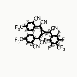 N#CC(=C1C(=C(/C#N)c2ccc(C(F)(F)F)cc2C#N)/C1=C(/C#N)c1c(F)c(F)c(C(F)(F)F)c(F)c1F)c1ccc(C(F)(F)F)cc1C#N